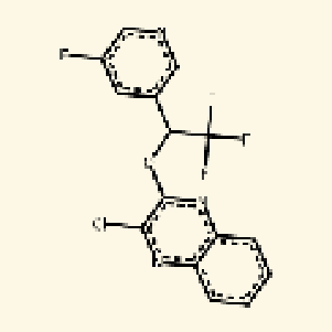 Fc1cncc(C(Oc2nc3ccccc3nc2Cl)C(F)(F)F)c1